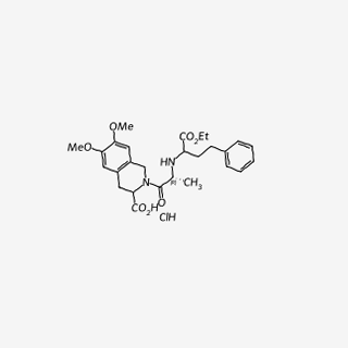 CCOC(=O)C(CCc1ccccc1)N[C@H](C)C(=O)N1Cc2cc(OC)c(OC)cc2CC1C(=O)O.Cl